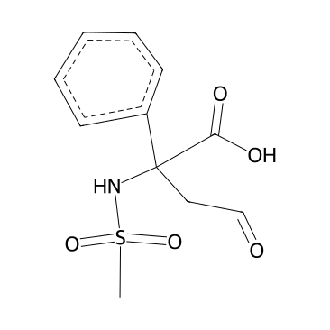 CS(=O)(=O)NC(CC=O)(C(=O)O)c1ccccc1